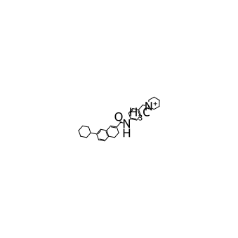 C[N+]1(Cc2ccc(NC(=O)C3=Cc4cc(C5CCCCC5)ccc4CC3)cc2)CCCCC1